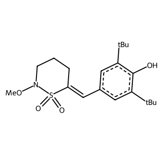 CON1CCC/C(=C\c2cc(C(C)(C)C)c(O)c(C(C)(C)C)c2)S1(=O)=O